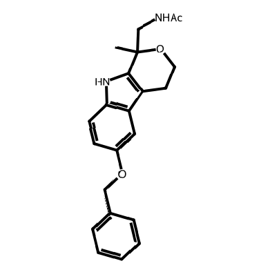 CC(=O)NCC1(C)OCCc2c1[nH]c1ccc(OCc3ccccc3)cc21